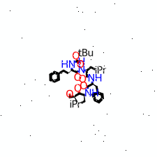 CC(C)CC(NC(=O)[C@H](CCc1ccccc1)NC(=O)OC(C)(C)C)C(=O)N[C@@H](Cc1ccccc1)C(=O)N[C@@H](CC(C)C)C(=O)[C@]1(C)CO1